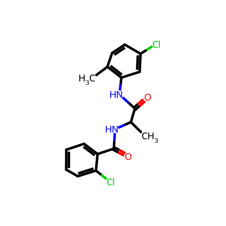 Cc1ccc(Cl)cc1NC(=O)C(C)NC(=O)c1ccccc1Cl